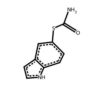 NC(=O)Sc1ccc2[nH]ccc2c1